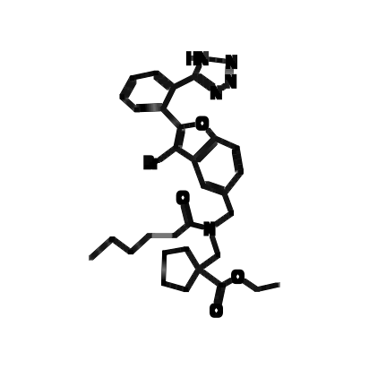 CCCCCC(=O)N(Cc1ccc2oc(-c3ccccc3-c3nnn[nH]3)c(Br)c2c1)CC1(C(=O)OCC)CCCC1